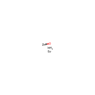 [Eu].[InH3].[O]=[Zn]